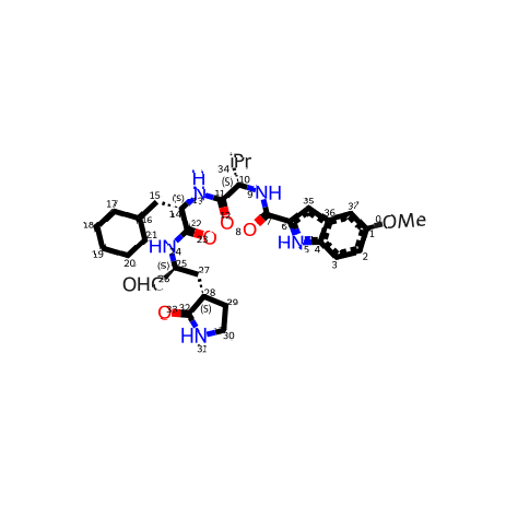 COc1ccc2[nH]c(C(=O)N[C@H](C(=O)N[C@@H](CC3CCCCC3)C(=O)N[C@H](C=O)C[C@@H]3CCNC3=O)C(C)C)cc2c1